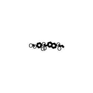 C=CC(=O)Oc1ccc2cc(C(=O)Oc3ccc(OC=O)cc3Cl)ccc2c1